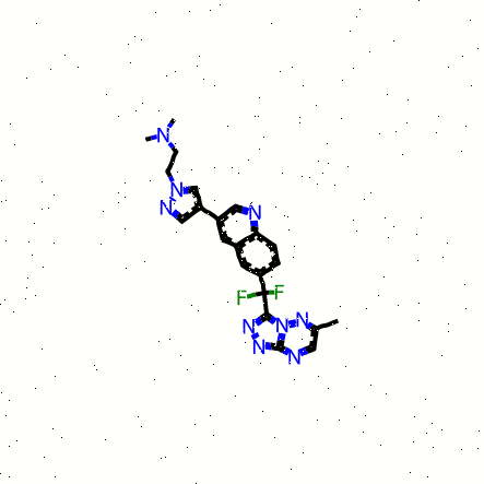 Cc1cnc2nnc(C(F)(F)c3ccc4ncc(-c5cnn(CCN(C)C)c5)cc4c3)n2n1